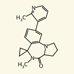 Cc1ncccc1-c1ccc2c(c1)N1CCCC1C(=O)N(C)C21CC1